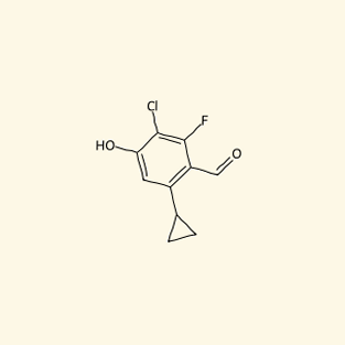 O=Cc1c(C2CC2)cc(O)c(Cl)c1F